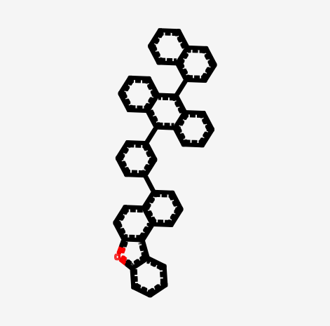 c1cc(-c2c3ccccc3c(-c3cccc4ccccc34)c3ccccc23)cc(-c2cccc3c2ccc2oc4ccccc4c23)c1